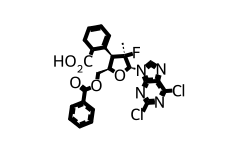 C[C@@]1(F)[C@H](C2=CC=CCC2C(=O)O)[C@H](COC(=O)c2ccccc2)O[C@H]1n1cnc2c(Cl)nc(Cl)nc21